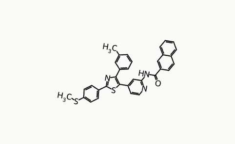 CSc1ccc(-c2nc(-c3cccc(C)c3)c(-c3ccnc(NC(=O)c4ccc5ccccc5c4)c3)s2)cc1